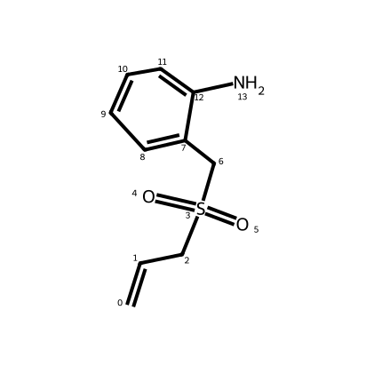 C=CCS(=O)(=O)Cc1ccccc1N